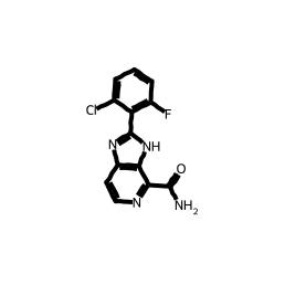 NC(=O)c1nccc2nc(-c3c(F)cccc3Cl)[nH]c12